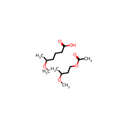 COC(C)CCCC(=O)O.COC(C)CCOC(C)=O